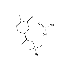 O=[PH](O)O.[2H]C(F)(F)CC(=C)[C@H]1CC=C(C)C(=O)C1